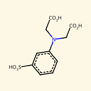 O=C(O)CN(CC(=O)O)c1cccc(S(=O)(=O)O)c1